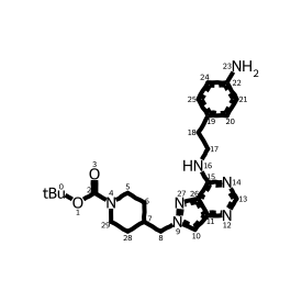 CC(C)(C)OC(=O)N1CCC(Cn2cc3ncnc(NCCc4ccc(N)cc4)c3n2)CC1